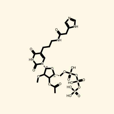 COC1C(OC(C)=O)[C@@H](COP(=O)(O)OP(=O)(O)OP(=O)(O)O)O[C@H]1n1cc(CCCNC(=O)Cc2cnc[nH]2)c(=O)[nH]c1=O